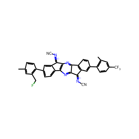 Cc1ccc(-c2ccc3c(c2)/c(=N\C#N)c2nc4c(nc23)/c(=N/C#N)c2cc(-c3ccc(C(F)(F)F)cc3C)ccc24)c(CF)c1